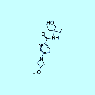 CCC(CC)(CO)NC(=O)c1ccc(N2CC(OC)C2)cn1